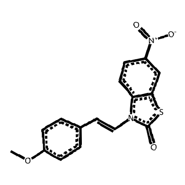 COc1ccc(C=Cn2c(=O)sc3cc([N+](=O)[O-])ccc32)cc1